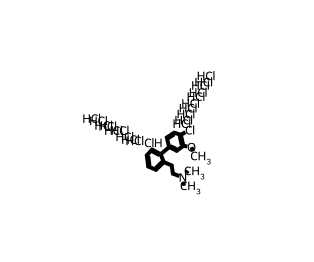 COc1cc(-c2ccccc2CCN(C)C)ccc1Cl.Cl.Cl.Cl.Cl.Cl.Cl.Cl.Cl.Cl.Cl.Cl.Cl.Cl.Cl.Cl.Cl.Cl.Cl.Cl.Cl